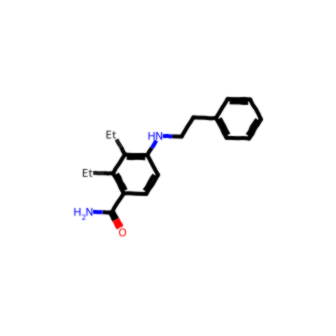 CCc1c(NCCc2ccccc2)ccc(C(N)=O)c1CC